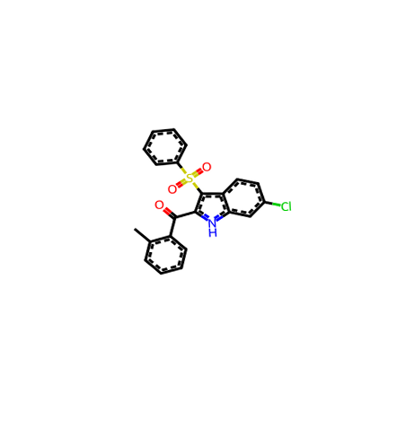 Cc1ccccc1C(=O)c1[nH]c2cc(Cl)ccc2c1S(=O)(=O)c1ccccc1